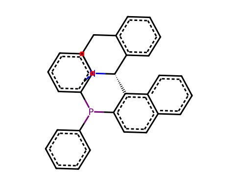 CN1CCc2ccccc2[C@@H]1c1c(P(c2ccccc2)c2ccccc2)ccc2ccccc12